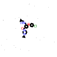 O=C(c1ccc(Oc2ccc(Cl)cc2)c(CNCC2CC2)c1)N1CCCN(C2CC2)CC1